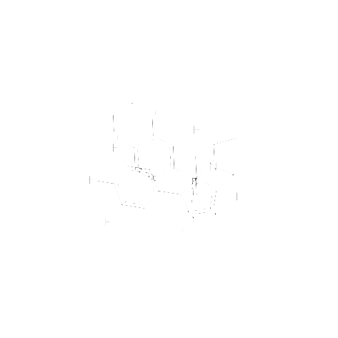 Cn1nc2c(c1-c1cc(F)c(F)c(F)c1)C[C@H]1CC[C@@H]2N1C(=O)c1ccc2c(c1)OCCO2